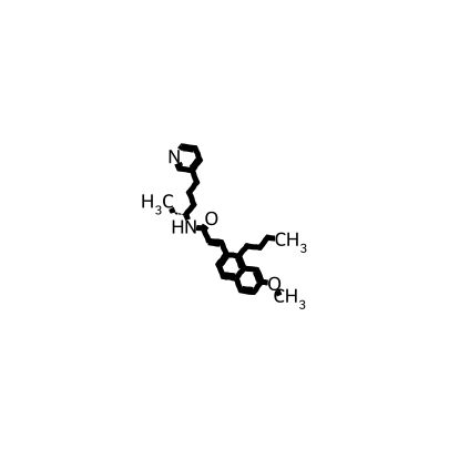 CCCCc1c(/C=C/C(=O)N[C@H](CC)CCCc2cccnc2)ccc2ccc(OC)cc12